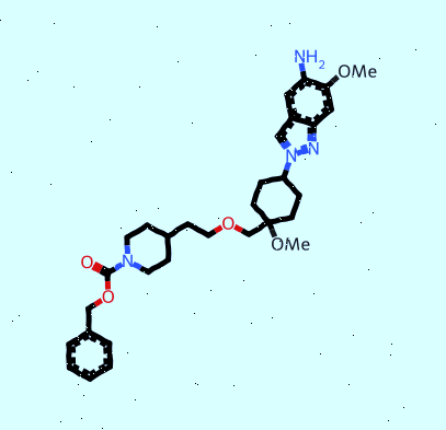 COc1cc2nn(C3CCC(COCCC4CCN(C(=O)OCc5ccccc5)CC4)(OC)CC3)cc2cc1N